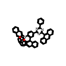 c1ccc(-c2nc(-c3ccc(-n4c5ccccc5c5cc6ccccc6cc54)c(-c4c5ccccc5cc5oc6ccccc6c45)c3)nc(-c3c4ccccc4cc4ccccc34)n2)cc1